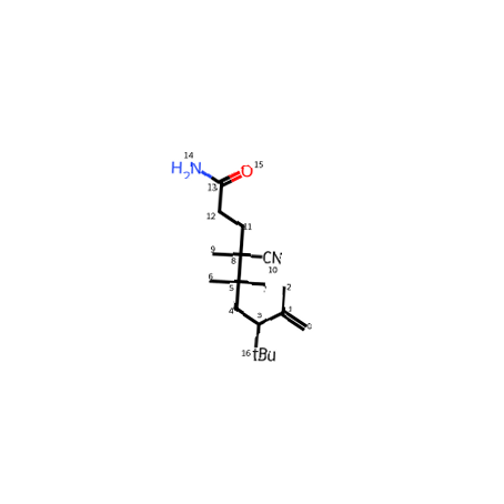 C=C(C)C(CC(C)(C)C(C)(C#N)CCC(N)=O)C(C)(C)C